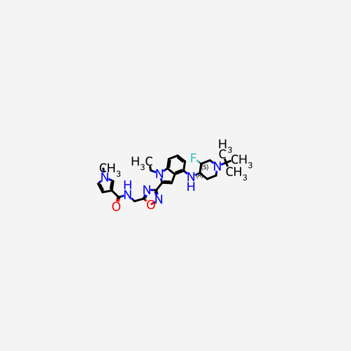 CCn1c(-c2noc(CNC(=O)c3ccn(C)c3)n2)cc2c(N[C@@H]3CCN(C(C)(C)C)C[C@@H]3F)cccc21